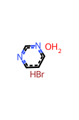 Br.O.c1cncnc1